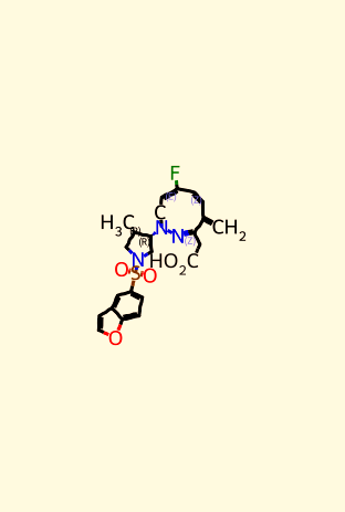 C=C1/C=C\C(F)=C/CN([C@H]2CN(S(=O)(=O)c3ccc4occc4c3)C[C@H]2C)/N=C\1CC(=O)O